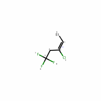 CC/C=C(/Cl)CC(F)(F)F